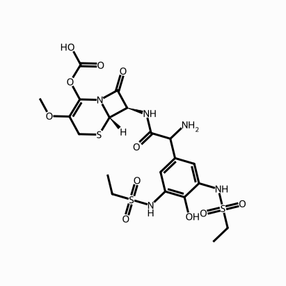 CCS(=O)(=O)Nc1cc(C(N)C(=O)N[C@@H]2C(=O)N3C(OC(=O)O)=C(OC)CS[C@@H]23)cc(NS(=O)(=O)CC)c1O